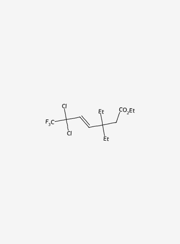 CCOC(=O)CC(C=CC(Cl)(Cl)C(F)(F)F)(CC)CC